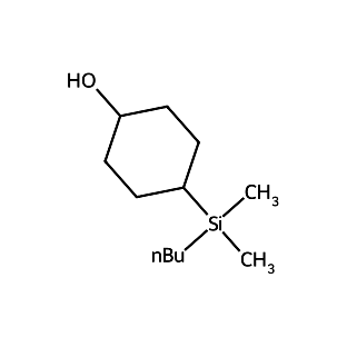 CCCC[Si](C)(C)C1CCC(O)CC1